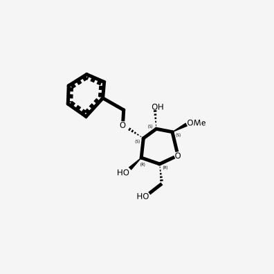 CO[C@H]1O[C@H](CO)[C@@H](O)[C@H](OCc2ccccc2)[C@@H]1O